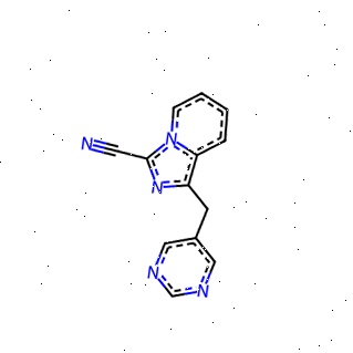 N#Cc1nc(Cc2cncnc2)c2ccccn12